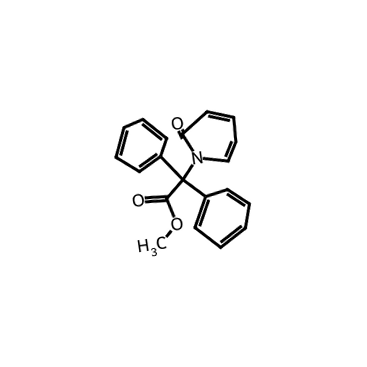 COC(=O)C(c1ccccc1)(c1ccccc1)n1ccccc1=O